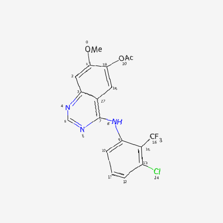 COc1cc2ncnc(Nc3cccc(Cl)c3C(F)(F)F)c2cc1OC(C)=O